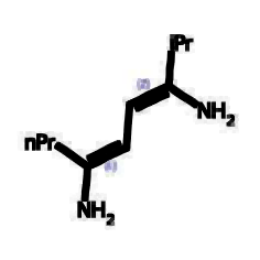 CCC/C(N)=C\C=C(/N)C(C)C